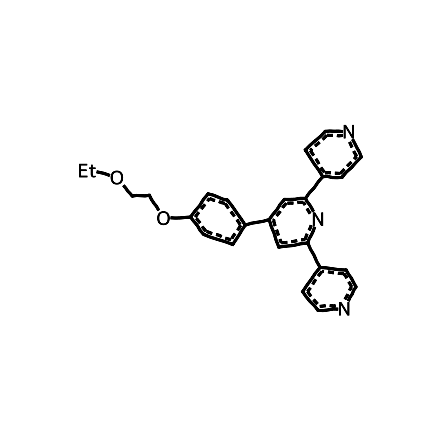 CCOCCOc1ccc(-c2cc(-c3ccncc3)nc(-c3ccncc3)c2)cc1